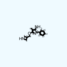 Cc1c(OCC2CNC2)nn(-c2ccccc2)c1N